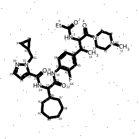 CCC(=O)NC(C(=O)N1CCN(C)CC1)C(C)c1ccc(NC(=O)C(NC(=O)c2ccnn2CC2CC2)C2CCCCCC2)c(F)c1